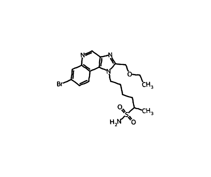 CCOCc1nc2cnc3cc(Br)ccc3c2n1CCCCC(C)S(N)(=O)=O